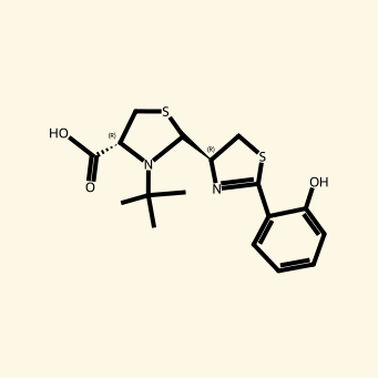 CC(C)(C)N1C([C@H]2CSC(c3ccccc3O)=N2)SC[C@H]1C(=O)O